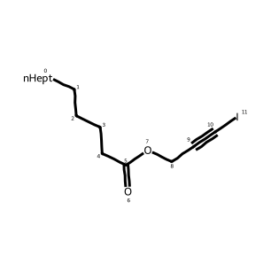 CCCCCCCCCCCC(=O)OCC#CI